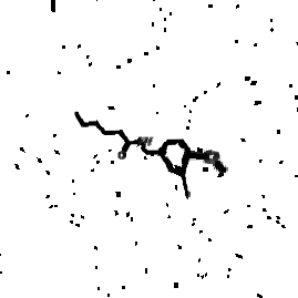 CCCCCC(=O)NCc1ccc(OC)c(F)c1